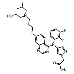 CC(C)CN(CCO)CCCOc1ccc2c(N(c3cnn(CC(N)=O)c3)c3cccc(F)c3F)ncnc2c1